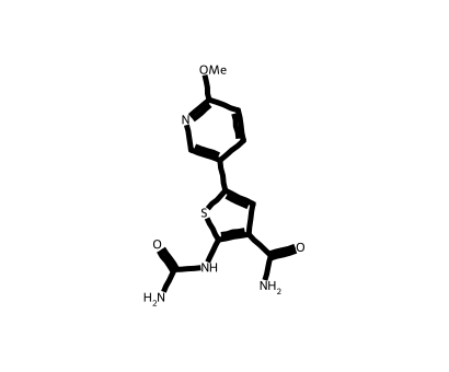 COc1ccc(-c2cc(C(N)=O)c(NC(N)=O)s2)cn1